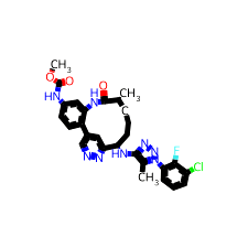 COC(=O)Nc1ccc2c(c1)NC(=O)[C@H](C)CCC[C@H](Nc1nnn(-c3cccc(Cl)c3F)c1C)c1cc-2cnn1